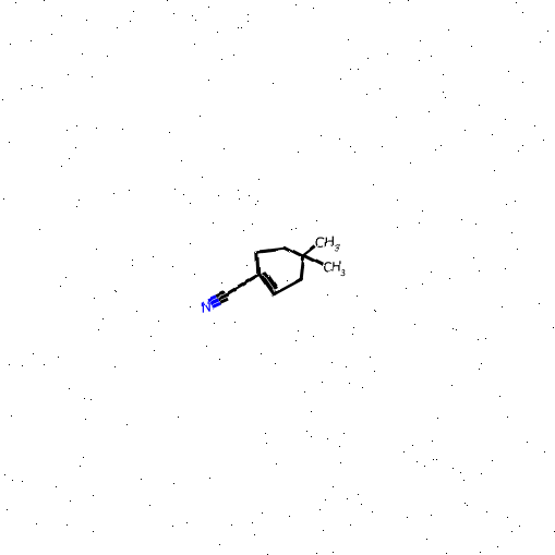 CC1(C)CC=C(C#N)CC1